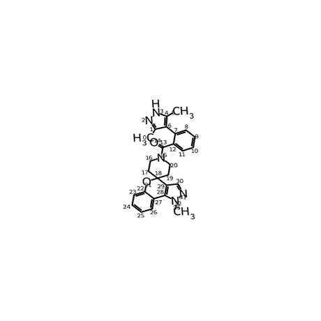 Cc1n[nH]c(C)c1-c1ccccc1C(=O)N1CCC2(CC1)Oc1ccccc1-c1c2cnn1C